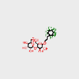 OC[C@H]1O[C@H](O[C@H]2[C@H](O)[C@@H](O)[C@H](OCCCC3(F)C(F)(F)C(F)(F)C(F)(F)C(F)(F)C3(F)F)O[C@@H]2CO)[C@H](O)[C@@H](O)[C@@H]1O